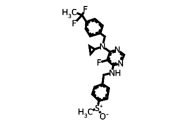 C[S+]([O-])c1ccc(CNc2ncnc(N(Cc3ccc(C(C)(F)F)cc3)C3CC3)c2F)cc1